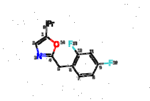 CC(C)c1cnc(Cc2ccc(F)cc2F)o1